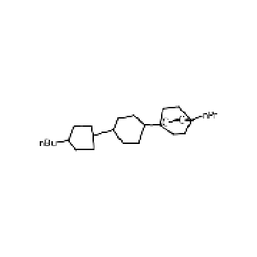 CCCCC1CCC(C2CCC(C34CCC(CCC)(CC3)CC4)CC2)CC1